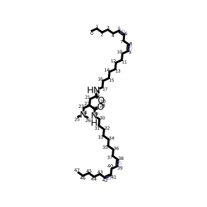 CCCCC/C=C\C/C=C\CCCCCCCCNC(=O)CC(CN(C)C)C(=O)NCCCCCCCC/C=C\C/C=C\CCCCC